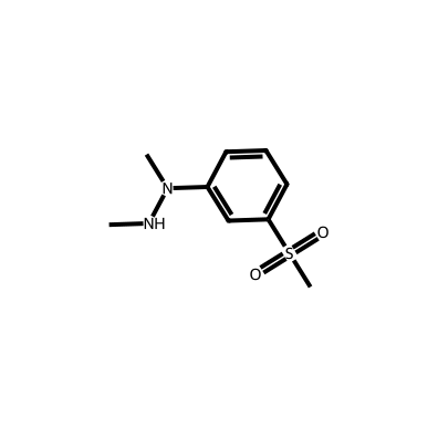 CNN(C)c1cccc(S(C)(=O)=O)c1